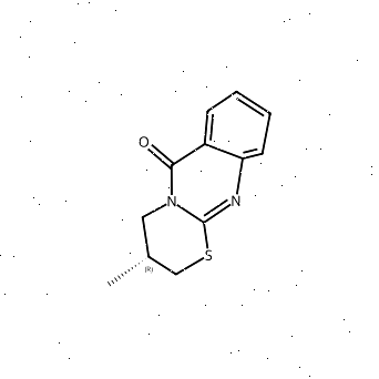 C[C@H]1CSc2nc3ccccc3c(=O)n2C1